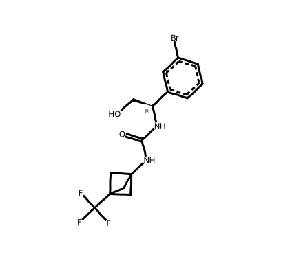 O=C(N[C@@H](CO)c1cccc(Br)c1)NC12CC(C(F)(F)F)(C1)C2